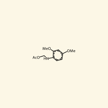 COc1ccc(NCOC(C)=O)c(OC)c1